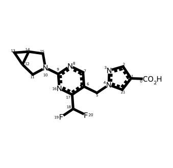 O=C(O)c1cnn(Cc2cnc(N3CC4CC4C3)nc2C(F)F)c1